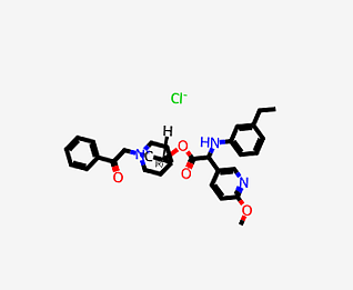 CCc1cccc(NC(C(=O)O[C@H]2C[N+]3(CC(=O)c4ccccc4)CCC2CC3)c2ccc(OC)nc2)c1.[Cl-]